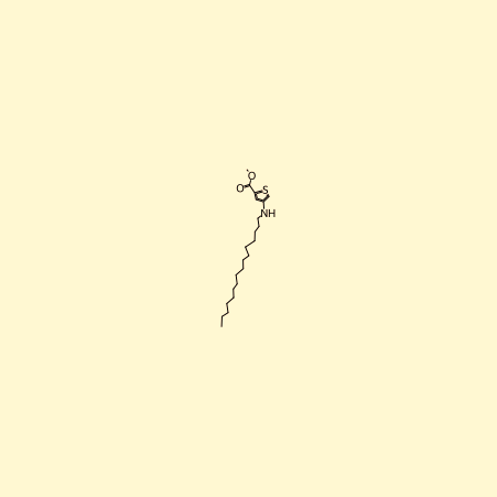 CCCCCCCCCCCCCCCCNc1csc(C(=O)OC)c1